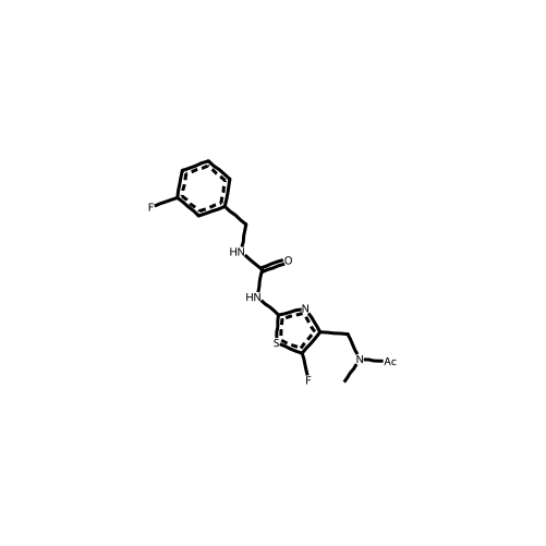 CC(=O)N(C)Cc1nc(NC(=O)NCc2cccc(F)c2)sc1F